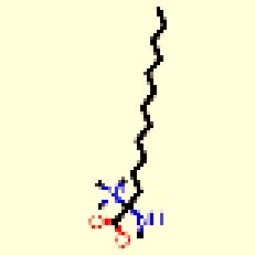 CCCCCCCCCCCCC(NC)(C(=O)[O-])[N+](C)(C)C